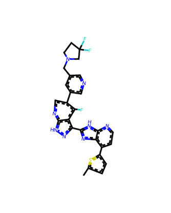 Cc1ccc(-c2ccnc3[nH]c(-c4n[nH]c5ncc(-c6cncc(CN7CCC(F)(F)C7)c6)c(F)c45)nc23)s1